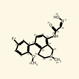 COc1ccc(F)cc1-c1ccc(NC(=O)/C=N\O)c2c1CCN(C)C2